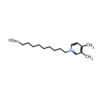 CCCCCCCCCCCCCCCCCCC[n+]1ccc(C)c(C)c1